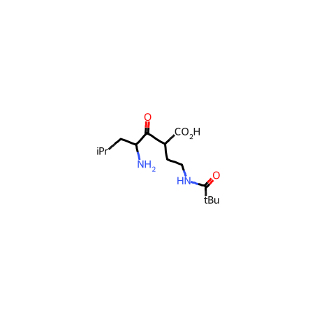 CC(C)CC(N)C(=O)C(CCNC(=O)C(C)(C)C)C(=O)O